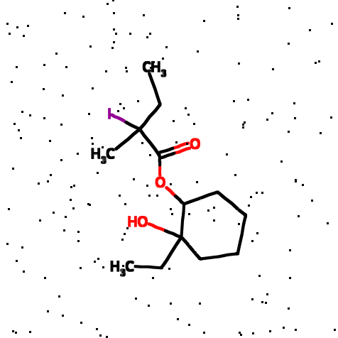 CCC(C)(I)C(=O)OC1CCCCC1(O)CC